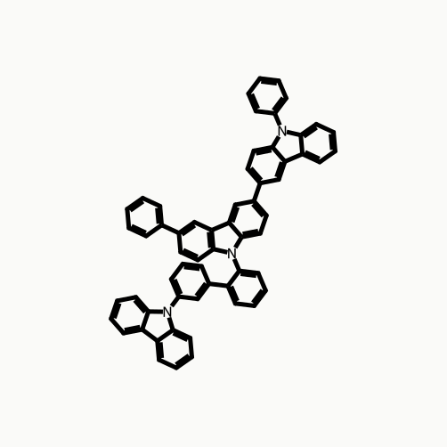 c1ccc(-c2ccc3c(c2)c2cc(-c4ccc5c(c4)c4ccccc4n5-c4ccccc4)ccc2n3-c2ccccc2-c2cccc(-n3c4ccccc4c4ccccc43)c2)cc1